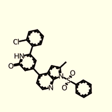 Cc1cc2c(-c3cc(-c4ccccc4Cl)[nH]c(=O)c3)ccnc2n1S(=O)(=O)c1ccccc1